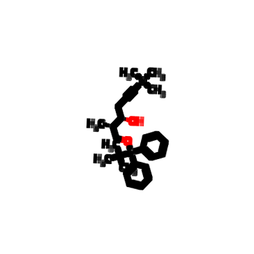 C[C@@H](CO[Si](c1ccccc1)(c1ccccc1)C(C)(C)C)[C@@H](O)CC#C[Si](C)(C)C